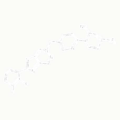 N#Cc1cc(C(F)(F)F)ccc1-c1ccc(Cn2cc3nc(-c4cccc(F)c4F)nc-3cn2)cn1